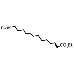 CCCCCCCCCCCCCCCCCCCCC=CC(=O)OCC